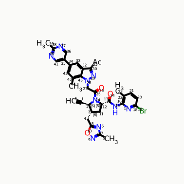 C#C[C@@H]1[C@@H](Cc2nc(C)no2)C[C@@H](C(=O)Nc2nc(Br)ccc2C)N1C(=O)Cn1nc(C(C)=O)c2cc(-c3cnc(C)nc3)cc(C)c21